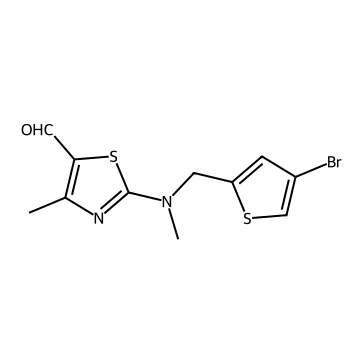 Cc1nc(N(C)Cc2cc(Br)cs2)sc1C=O